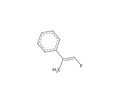 CC(=CF)c1ccccc1